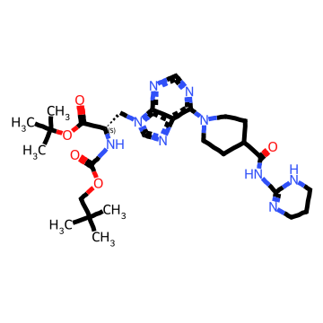 CC(C)(C)COC(=O)N[C@@H](Cn1cnc2c(N3CCC(C(=O)NC4=NCCCN4)CC3)ncnc21)C(=O)OC(C)(C)C